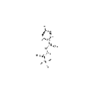 Cc1ccc(C(=O)COC(=O)C(C)(C)C)cc1